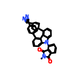 CN1C(=O)c2cccc(-n3c4cccc(-c5ccc(C#N)cc5)c4c4c(-c5ccc(C#N)cc5)cccc43)c2C1=O